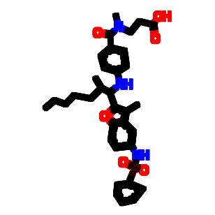 CCCCCC(C)C(Nc1ccc(C(=O)N(C)CCC(=O)O)cc1)c1oc2ccc(NS(=O)(=O)c3ccccc3)cc2c1C